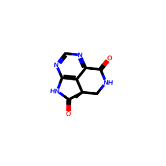 CC12CNC(=O)c3ncnc(c31)NC2=O